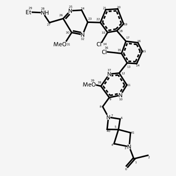 C=C(C)N1CC2(CN(Cc3ncc(-c4cccc(-c5cccc(C6CN=C(CNCC)C(OC)=N6)c5Cl)c4Cl)nc3OC)C2)C1